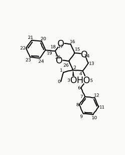 CC[C@@]1(O)C(OCc2ccccc2)COC2COC(c3ccccc3)OC21